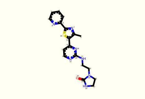 Cc1nc(-c2ccccn2)sc1-c1ccnc(NCCN2CCNC2=O)n1